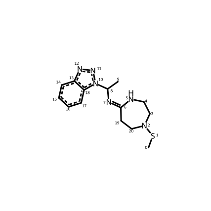 CSN1CCN/C(=N\C(C)n2nnc3ccccc32)CC1